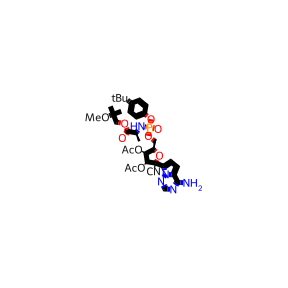 COC(C)(C)COC(=O)[C@H](C)NP(=O)(OC[C@H]1O[C@@](C#N)(c2ccc3c(N)ncnn23)[C@H](OC(C)=O)[C@@H]1OC(C)=O)Oc1ccc(C(C)(C)C)cc1